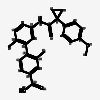 COc1ccc(C2(C(=O)Nc3ccc(C)c(-c4ccc(C(=O)O)cc4C)c3)CC2)cc1